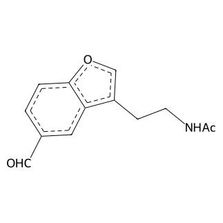 CC(=O)NCCc1coc2ccc(C=O)cc12